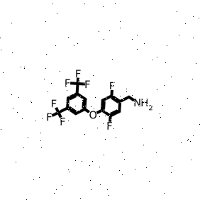 NCc1cc(F)c(Oc2cc(C(F)(F)F)cc(C(F)(F)F)c2)cc1F